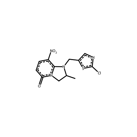 CC1Cn2c(c([N+](=O)[O-])ccc2=O)N1Cc1cnc(Cl)s1